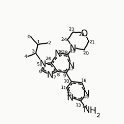 CC(C)C(C)n1cnc2c(-c3cnc(N)nc3)nc(N3CCOCC3)nc21